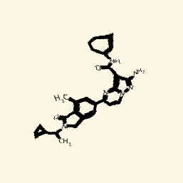 Cc1cc(-c2ccn3nc(N)c(C(=O)NC4CCCCC4)c3n2)cc2c1C(=O)N(C(C)C1CC1)C2